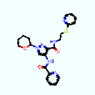 O=C(Nc1cn(C2CCCCO2)nc1C(=O)NCCSc1ccccn1)c1ccccn1